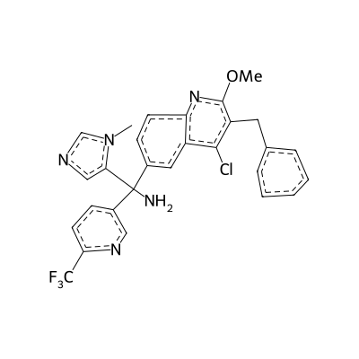 COc1nc2ccc(C(N)(c3ccc(C(F)(F)F)nc3)c3cncn3C)cc2c(Cl)c1Cc1ccccc1